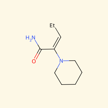 CCC=C(C(N)=O)N1CCCCC1